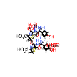 CC1(C)S[C@@H]2[C@H](NC(=O)C(N)c3ccc(O)cc3)C(=O)N2[C@H]1C(=O)O.CC1(C)S[C@@H]2[C@H](NC(=O)C(N)c3ccc(O)cc3)C(=O)N2[C@H]1C(=O)O.O.O.O.O.O.O